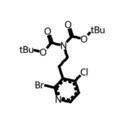 CC(C)(C)OC(=O)N(CCc1c(Cl)ccnc1Br)C(=O)OC(C)(C)C